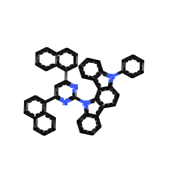 c1ccc(-n2c3ccccc3c3c2ccc2c4ccccc4n(-c4nc(-c5cccc6ccccc56)cc(-c5cccc6ccccc56)n4)c23)cc1